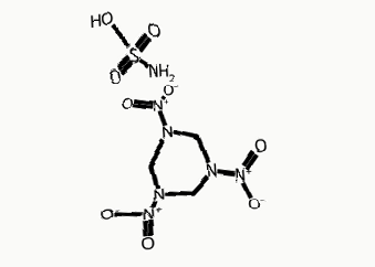 NS(=O)(=O)O.O=[N+]([O-])N1CN([N+](=O)[O-])CN([N+](=O)[O-])C1